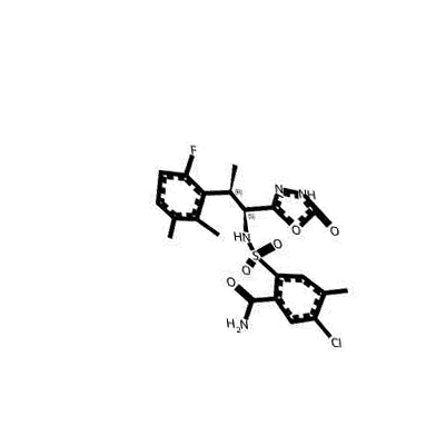 Cc1cc(S(=O)(=O)N[C@H](c2n[nH]c(=O)o2)[C@H](C)c2c(F)ccc(C)c2C)c(C(N)=O)cc1Cl